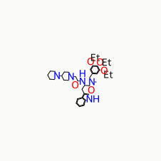 CCOc1cc(CN(C)C(=O)C(Cc2c[nH]c3ccccc23)NC(=O)CN2CCC(N3CCCCC3)CC2)cc(OCC)c1OCC